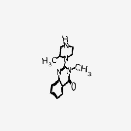 CC1CNCCN1c1nc2ccccc2c(=O)n1C